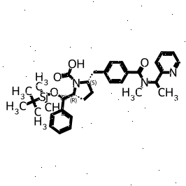 CC(c1ccccn1)N(C)C(=O)c1ccc(C[C@@H]2CC[C@H]([C@H](O[Si](C)(C)C(C)(C)C)c3ccccc3)N2C(=O)O)cc1